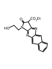 CCOC(=O)C1C(=O)N(CCO)c2nc3cc4ccccc4cc3nc21